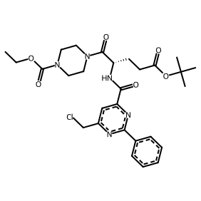 CCOC(=O)N1CCN(C(=O)[C@H](CCC(=O)OC(C)(C)C)NC(=O)c2cc(CCl)nc(-c3ccccc3)n2)CC1